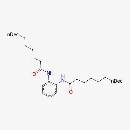 CCCCCCCCCCCCCCCC(=O)Nc1ccccc1NC(=O)CCCCCCCCCCCCCCC